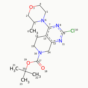 CC1COCCN1c1nc(Cl)nc2c1CCN(C(=O)OC(C)(C)C)C2